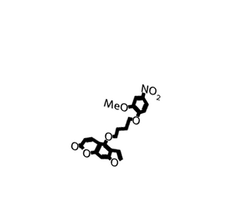 COc1cc([N+](=O)[O-])ccc1OCCCCOc1c2ccoc2cc2oc(=O)ccc12